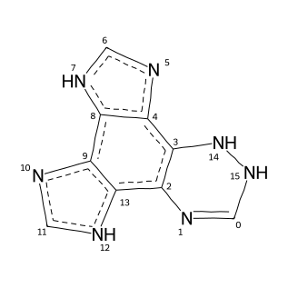 C1=Nc2c(c3nc[nH]c3c3nc[nH]c23)NN1